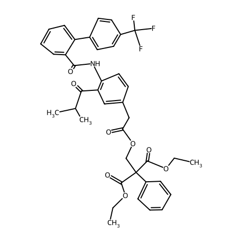 CCOC(=O)C(COC(=O)Cc1ccc(NC(=O)c2ccccc2-c2ccc(C(F)(F)F)cc2)c(C(=O)C(C)C)c1)(C(=O)OCC)c1ccccc1